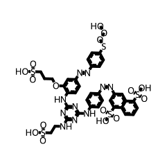 O=S(=O)(O)CCCOc1cc(N=Nc2ccc(SOOO)cc2)ccc1Nc1nc(NCCS(=O)(=O)O)nc(Nc2ccc(N=Nc3cc(S(=O)(=O)O)c4cccc(S(=O)(=O)O)c4c3)cc2)n1